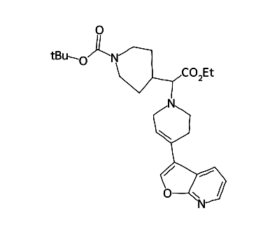 CCOC(=O)C(C1CCN(C(=O)OC(C)(C)C)CC1)N1CC=C(c2coc3ncccc23)CC1